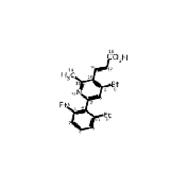 CCc1cc(-c2c(CC)cccc2CC)nc(C)c1C=CC(=O)O